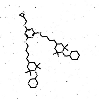 CC1(C)CC(CCCCNc2nc(NCCCCC3CC(C)(C)N(OC4CCCCC4)C(C)(C)C3)nc(OCC3CO3)n2)CC(C)(C)N1OC1CCCCC1